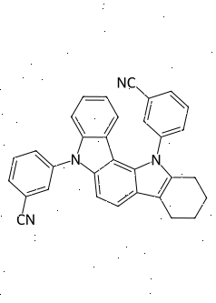 N#Cc1cccc(-n2c3c(c4ccc5c(c6ccccc6n5-c5cccc(C#N)c5)c42)CCCC3)c1